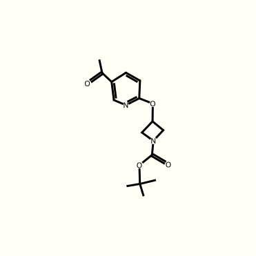 CC(=O)c1ccc(OC2CN(C(=O)OC(C)(C)C)C2)nc1